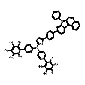 [2H]c1c([2H])c([2H])c(-c2ccc(N(c3ccc(-c4c([2H])c([2H])c([2H])c([2H])c4[2H])cc3)c3ccc(-c4ccc(-c5ccc6c7c8ccccc8ccc7n(-c7ccccc7)c6c5)cc4)s3)cc2)c([2H])c1[2H]